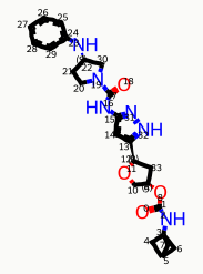 O=C(NC12CC(C1)C2)O[C@H]1CO[C@@H](c2cc(NC(=O)N3CC[C@H](Nc4ccccc4)C3)n[nH]2)C1